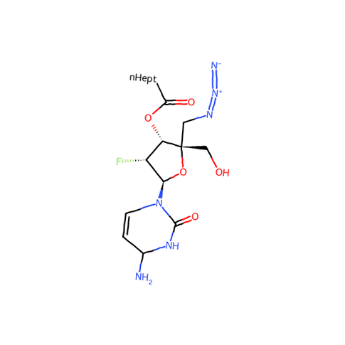 CCCCCCCC(=O)O[C@H]1[C@@H](F)[C@H](N2C=CC(N)NC2=O)O[C@@]1(CO)CN=[N+]=[N-]